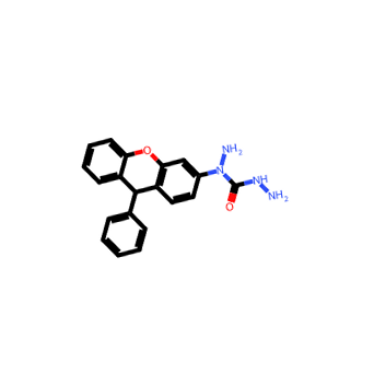 NNC(=O)N(N)c1ccc2c(c1)Oc1ccccc1C2c1ccccc1